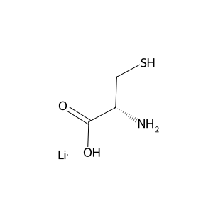 N[C@@H](CS)C(=O)O.[Li]